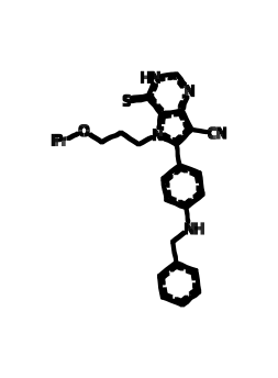 CC(C)OCCCn1c(-c2ccc(NCc3ccccc3)cc2)c(C#N)c2nc[nH]c(=S)c21